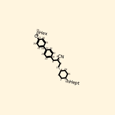 CCCCCCC[C@H]1CC[C@H](CCC(C#N)Cc2ccc(-c3ccc(OCCCCCC)cc3)cc2)CC1